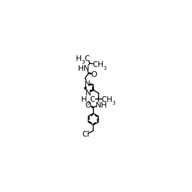 CC(C)NC(=O)Cn1cnc(CC(C)(C)NC(=O)c2ccc(CCl)cc2)c1